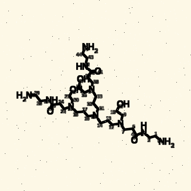 NCCNC(=O)CCN(CCO)CCCN(CCCN(CCO)CCC(=O)NCCN)CCCN(CCO)CCC(=O)NCCN